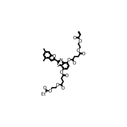 C=CC(=O)OCCOC(=O)CCC(=O)Oc1ccc(OC(=O)CCC(=O)OCCOC(=O)CC)c2sc(-c3cc4c(C)cc(C)cc4o3)nc12